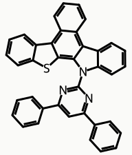 c1ccc(-c2cc(-c3ccccc3)nc(-n3c4ccccc4c4c5ccccc5c5c6ccccc6sc5c43)n2)cc1